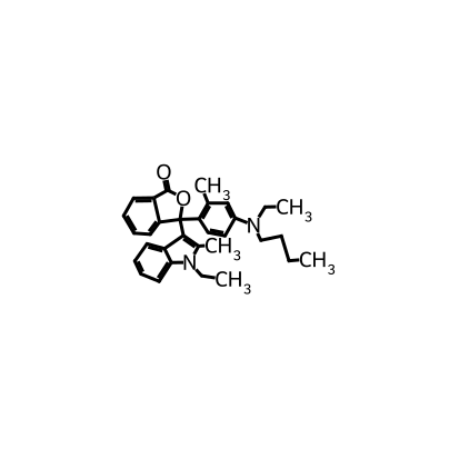 CCCCN(CC)c1ccc(C2(c3c(C)n(CC)c4ccccc34)OC(=O)c3ccccc32)c(C)c1